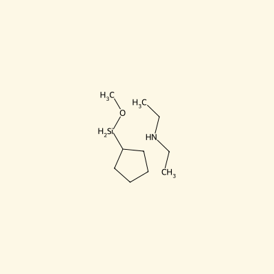 CCNCC.CO[SiH2]C1CCCC1